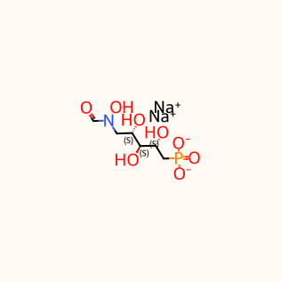 O=CN(O)C[C@H](O)[C@H](O)[C@H](O)CP(=O)([O-])[O-].[Na+].[Na+]